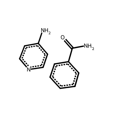 NC(=O)c1ccccc1.Nc1ccncc1